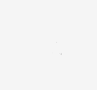 NC(=O)C(O)c1c(Cl)cccc1Cl